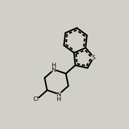 ClC1CNC(c2csc3ccccc23)CN1